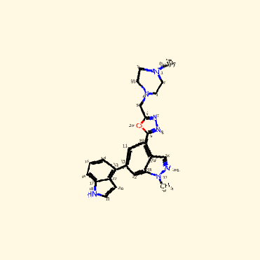 CC(C)N1CCN(Cc2nnc(-c3cc(-c4cccc5[nH]ccc45)cc4c3cnn4C)o2)CC1